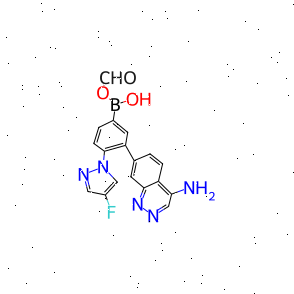 Nc1cnnc2cc(-c3cc(B(O)OC=O)ccc3-n3cc(F)cn3)ccc12